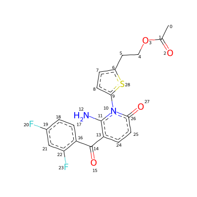 CC(=O)OCCc1ccc(-n2c(N)c(C(=O)c3ccc(F)cc3F)ccc2=O)s1